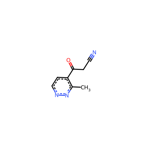 Cc1nnccc1C(=O)CC#N